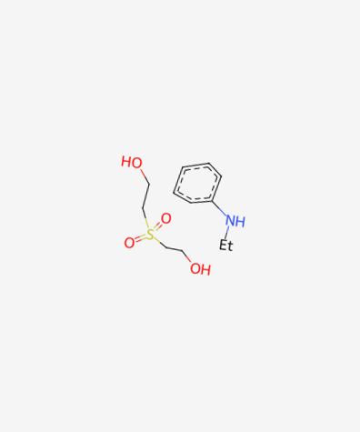 CCNc1ccccc1.O=S(=O)(CCO)CCO